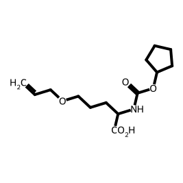 C=CCOCCCC(NC(=O)OC1CCCC1)C(=O)O